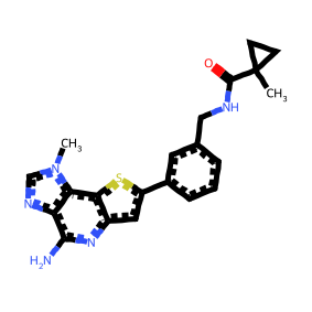 Cn1cnc2c(N)nc3cc(-c4cccc(CNC(=O)C5(C)CC5)c4)sc3c21